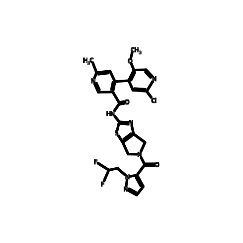 COc1cnc(Cl)cc1-c1cc(C)ncc1C(=O)Nc1nc2c(s1)CN(C(=O)c1ccnn1CC(F)F)C2